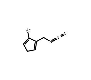 CC(=O)C1=CCC=C1CN=[N+]=[N-]